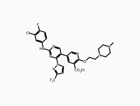 CCOC(=O)c1cc(-c2cnc(Nc3ccc(F)c(Cl)c3)nc2-n2ccc(C(F)(F)F)n2)cnc1OCCN1CCN(C)CC1